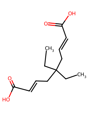 CCC(CC)(CC=CC(=O)O)CC=CC(=O)O